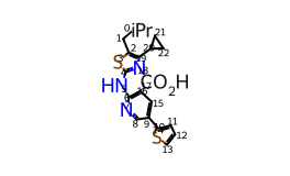 CC(C)Cc1sc(Nc2ncc(-c3cccs3)cc2C(=O)O)nc1C1CC1